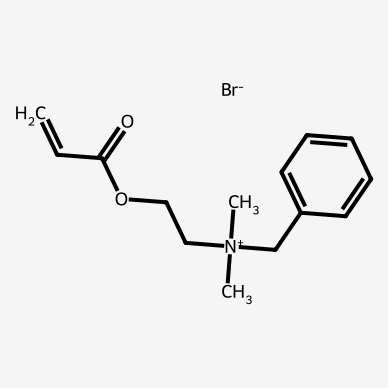 C=CC(=O)OCC[N+](C)(C)Cc1ccccc1.[Br-]